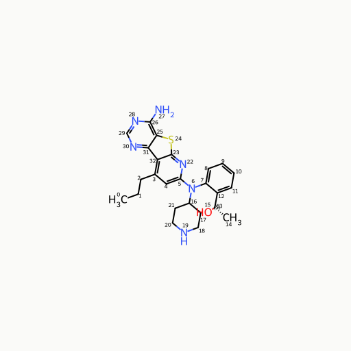 CCCc1cc(N(c2ccccc2[C@H](C)O)C2CCNCC2)nc2sc3c(N)ncnc3c12